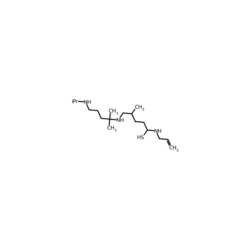 C=CCNC(S)CCC(C)CNC(C)(C)CCCNC(C)C